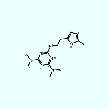 Cc1ccc(CCNc2nc(N(C)C)nc(N(C)C)n2)o1